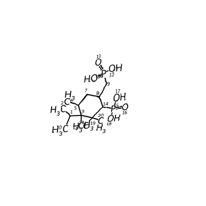 CC(C)C1(C)C(C)CC(CP(=O)(O)O)C(P(=O)(O)O)C1(C)C